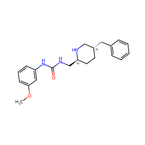 COc1cccc(NC(=O)NC[C@@H]2CC[C@@H](Cc3ccccc3)CN2)c1